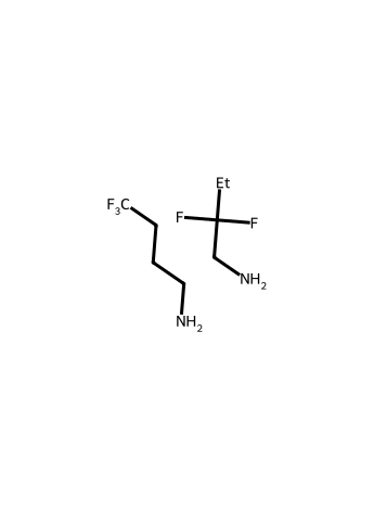 CCC(F)(F)CN.NCCCC(F)(F)F